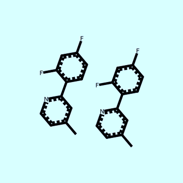 Cc1ccnc(-c2ccc(F)cc2F)c1.Cc1ccnc(-c2ccc(F)cc2F)c1